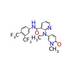 CN(c1ccc(=O)n(C)c1)c1ncccc1C(=O)Nc1ccc(C(F)(F)F)c(C(F)(F)F)c1